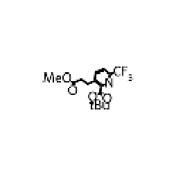 COC(=O)CCc1ccc(C(F)(F)F)nc1C(=O)OC(C)(C)C